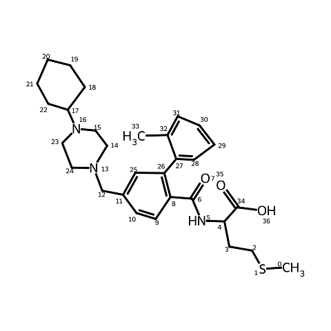 CSCCC(NC(=O)c1ccc(CN2CCN(C3CCCCC3)CC2)cc1-c1ccccc1C)C(=O)O